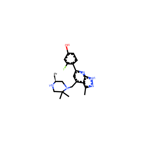 Cc1n[nH]c2nc(-c3ccc(O)cc3F)cc(CN3C[C@H](C(C)C)NCC3(C)C)c12